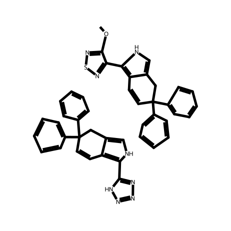 C1=CC(c2ccccc2)(c2ccccc2)Cc2c[nH]c(-c3nnn[nH]3)c21.COc1nsnc1-c1[nH]cc2c1C=CC(c1ccccc1)(c1ccccc1)C2